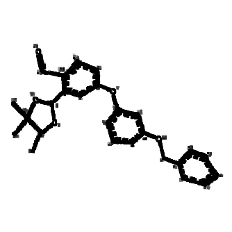 CC1OB(c2cc(Oc3cccc(OCc4ccccc4)c3)ccc2C=O)OC1(C)C